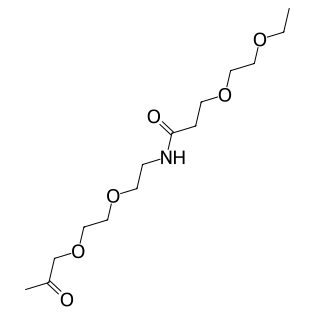 CCOCCOCCC(=O)NCCOCCOCC(C)=O